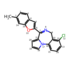 Cc1ccc2cc(C3=NCc4c(Cl)cccc4-n4cccc43)oc2c1